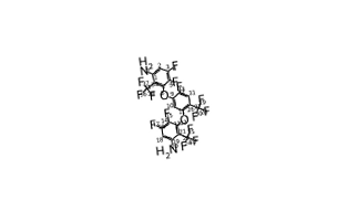 Nc1cc(F)c(F)c(Oc2cc(Oc3c(F)c(F)cc(N)c3C(F)(F)F)c(C(F)(F)F)cc2F)c1C(F)(F)F